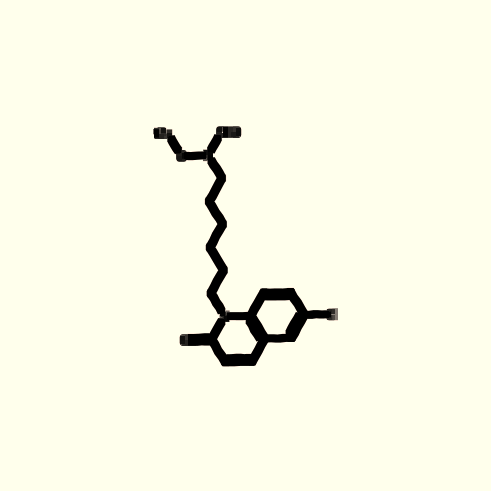 CC(C)(C)ON(C=O)CCCCCCn1c(=O)ccc2cc(Cl)ccc21